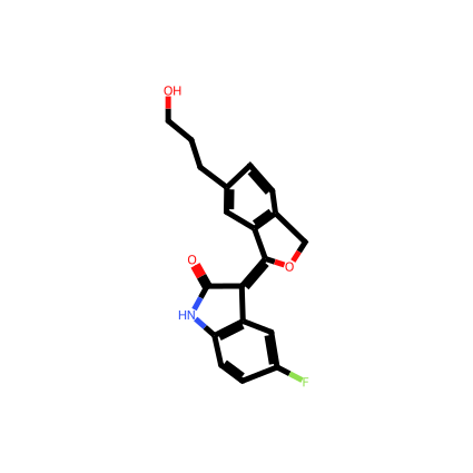 O=C1Nc2ccc(F)cc2C1=C1OCc2ccc(CCCO)cc21